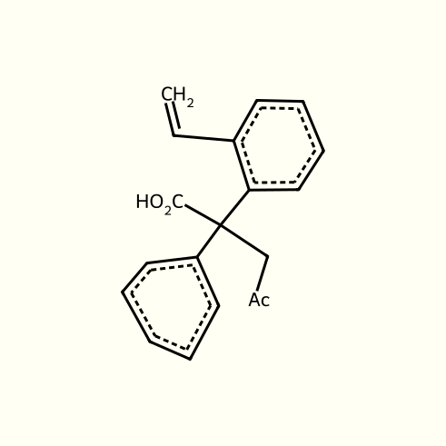 C=Cc1ccccc1C(CC(C)=O)(C(=O)O)c1ccccc1